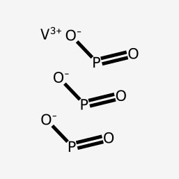 O=P[O-].O=P[O-].O=P[O-].[V+3]